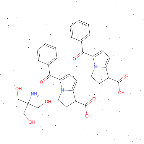 NC(CO)(CO)CO.O=C(c1ccccc1)c1ccc2n1CCC2C(=O)O.O=C(c1ccccc1)c1ccc2n1CCC2C(=O)O